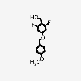 COc1ccc(COc2cc(F)c(CO)c(F)c2)cc1